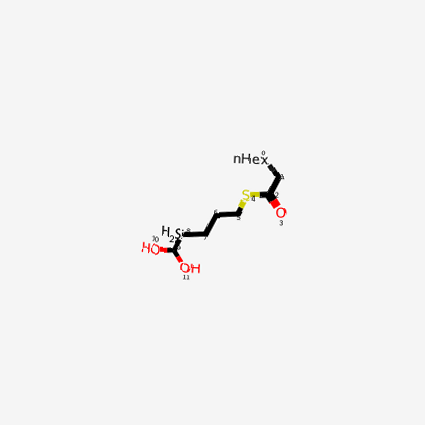 CCCCCCCC(=O)SCCC[SiH2]C(O)O